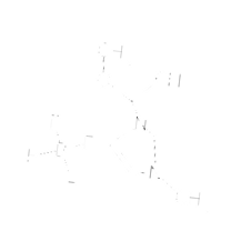 COC(C)N1C=CN(C)C1.F[B-](F)(F)F